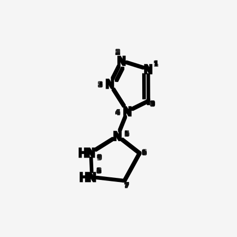 [c]1nnnn1N1CCNN1